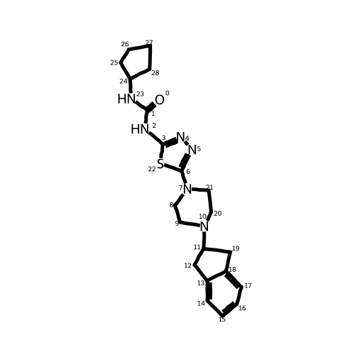 O=C(Nc1nnc(N2CCN(C3Cc4ccccc4C3)CC2)s1)NC1CCCC1